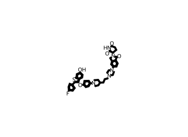 O=C1CCC(N2Cc3cc(N4CCN(CCCC5CCN(c6ccc(Oc7c(-c8ccc(F)cc8)sc8cc(O)ccc78)cc6)CC5)CC4)ccc3C2=O)C(=O)N1